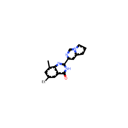 CCc1cc(C)c2nc(-c3cc4cccn4cn3)[nH]c(=O)c2c1